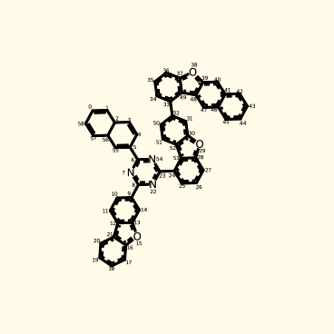 C1=CC2C=CC(c3nc(-c4ccc5c(c4)oc4ccccc45)nc(-c4cccc5oc6cc(-c7cccc8oc9cc%10ccccc%10cc9c78)ccc6c45)n3)=CC2C=C1